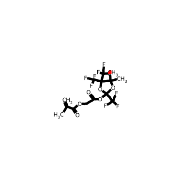 C=C(C)C(=O)OCC(=O)OC1(C(F)(F)F)OC(C)(C)C(C(F)(F)F)(C(F)(F)F)O1